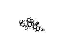 COc1ccc2ccn(CC3(O)CCN(C(=O)C(C)CC(F)(F)F)CC34CCCC4)c(=O)c2c1